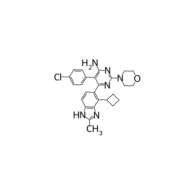 Cc1nc2c(C3CCC3)c(-c3nc(N4CCOCC4)nc(N)c3-c3ccc(Cl)cc3)ccc2[nH]1